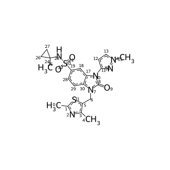 Cc1nc(C)c(Cn2c(=O)n(-c3ccn(C)n3)c3cc(S(=O)(=O)NC4(C)CC4)ccc32)s1